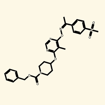 CC(=NOc1ncnc(OC2CCN(C(=O)OCc3ccccc3)CC2)c1C)c1ccc(S(C)(=O)=O)cc1